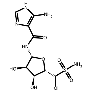 Nc1[nH]cnc1C(=O)N[C@@H]1O[C@H](C(O)S(N)(=O)=O)[C@@H](O)[C@H]1O